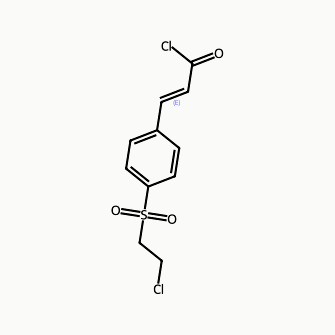 O=C(Cl)/C=C/c1ccc(S(=O)(=O)CCCl)cc1